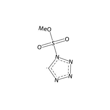 COS(=O)(=O)n1[c]nnn1